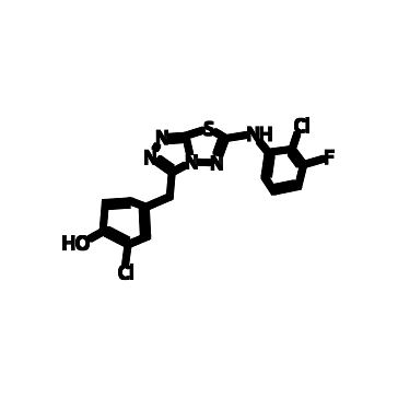 Oc1ccc(Cc2nnc3sc(Nc4cccc(F)c4Cl)nn23)cc1Cl